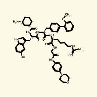 COc1ccccc1-c1ccc(C[C@H](NC(=O)[C@H](Cc2c[nH]c3ccc(O)cc23)NC(=O)[C@H]2CCC[C@H](N)C2)C(=O)N[C@@H](CCCCNC(=N)N)C(=O)NCC(=O)Nc2ccc(N3CCOCC3)cc2)cc1